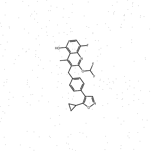 Cc1c(Cc2ccc(-c3cnoc3C3CC3)cc2)c(OC(F)F)nc2c(F)ccc(O)c12